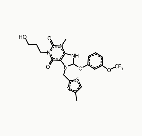 Cc1csc(CN2c3c(n(C)c(=O)n(CCCO)c3=O)NC2Oc2cccc(OC(F)(F)F)c2)n1